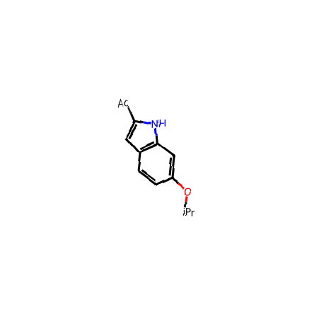 CC(=O)c1cc2ccc(OC(C)C)cc2[nH]1